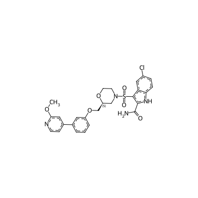 COc1cc(-c2cccc(OC[C@@H]3CN(S(=O)(=O)c4c(C(N)=O)[nH]c5ccc(Cl)cc45)CCO3)c2)ccn1